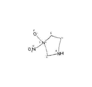 O=[N+]([O-])[N+]1([O-])[CH]NCC1